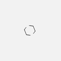 [CH]1COC[CH]O1